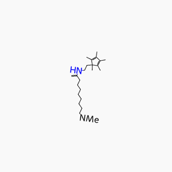 C=C(CCCCCCCCNC)NCCC1(C)C(C)=C(C)C(C)=C1C